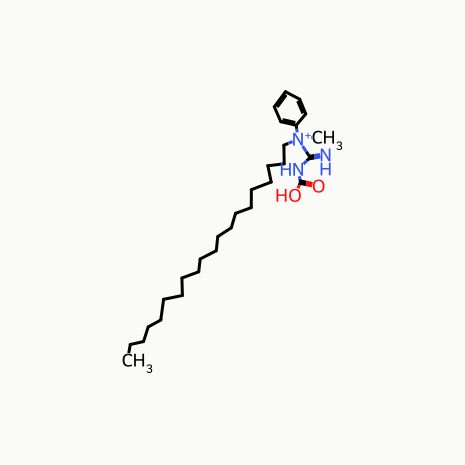 CCCCCCCCCCCCCCCCCCCC[N+](C)(C(=N)NC(=O)O)c1ccccc1